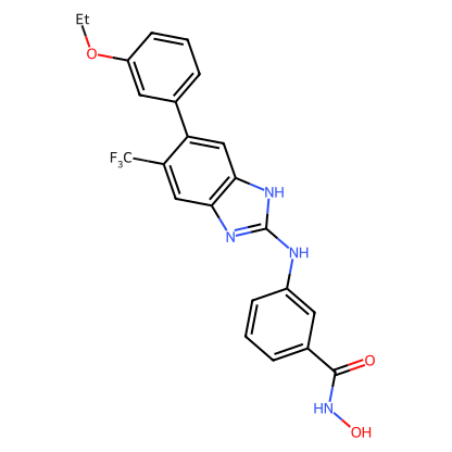 CCOc1cccc(-c2cc3[nH]c(Nc4cccc(C(=O)NO)c4)nc3cc2C(F)(F)F)c1